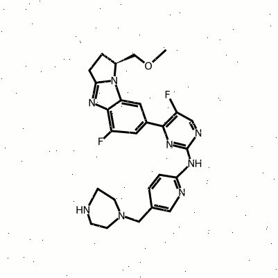 COC[C@@H]1CCc2nc3c(F)cc(-c4nc(Nc5ccc(CN6CCNCC6)cn5)ncc4F)cc3n21